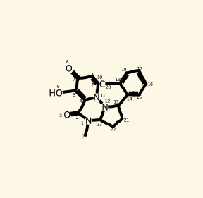 CN1C(=O)c2c(O)c(=O)ccn2N2C(c3ccccc3C(F)(F)F)CCC12